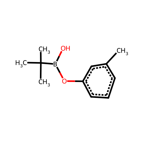 Cc1cccc(OB(O)C(C)(C)C)c1